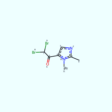 Cc1ncc(C(=O)C(Br)Br)n1C(C)C